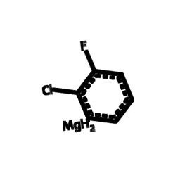 Fc1ccc[c]c1Cl.[MgH2]